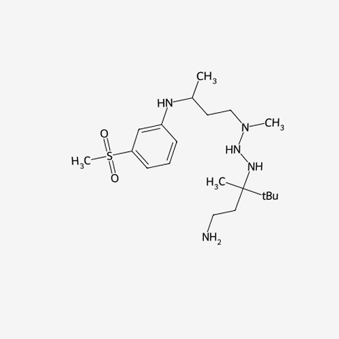 CC(CCN(C)NNC(C)(CCN)C(C)(C)C)Nc1cccc(S(C)(=O)=O)c1